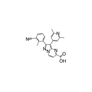 Cc1cc(-c2c(-c3cccc(C#N)c3C)nn3ccc(C(=O)O)nc23)cc(C)n1